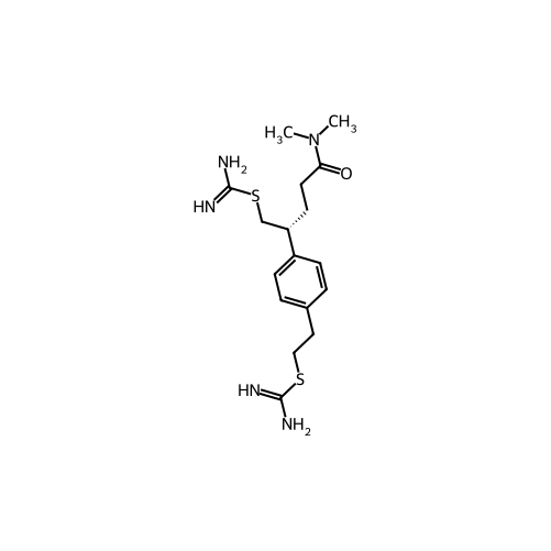 CN(C)C(=O)CC[C@@H](CSC(=N)N)c1ccc(CCSC(=N)N)cc1